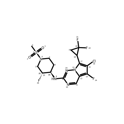 CS(=O)(=O)N1CC[C@@H](Nc2ncc3c(F)c(Cl)c(C4CC4(F)F)n3n2)[C@H](F)C1